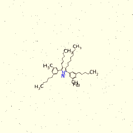 CCCCC=CC1=C(c2cc(C)cc(CCCCC)c2)[N+](=[N-])C(c2cc(C)cc(CCCCC)c2)=C1CCCCCCCC.[Pd]